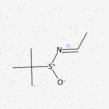 [CH2]C(C)(C)[S+]([O-])/N=C/C